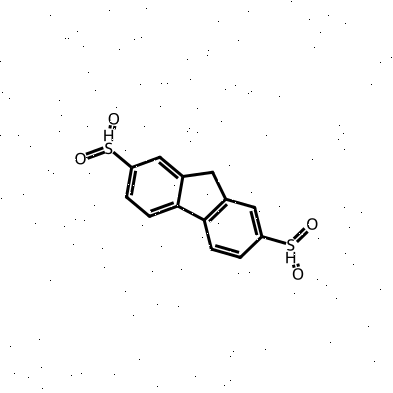 O=[SH](=O)c1ccc2c(c1)Cc1cc([SH](=O)=O)ccc1-2